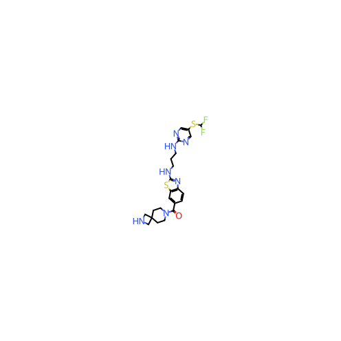 O=C(c1ccc2nc(NCCCNc3ncc(SC(F)F)cn3)sc2c1)N1CCC2(CC1)CNC2